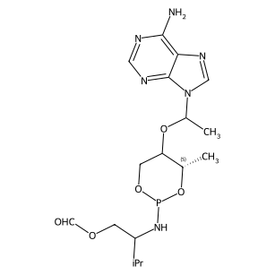 CC(C)C(COC=O)NP1OCC(OC(C)n2cnc3c(N)ncnc32)[C@H](C)O1